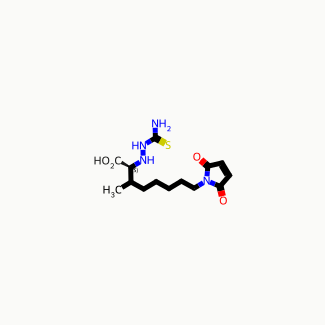 CC(CCCCCN1C(=O)C=CC1=O)[C@H](NNC(N)=S)C(=O)O